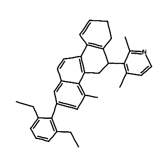 CCc1cccc(CC)c1-c1cc(C)c2c3c(ccc2c1)C1=C(CCC=C1)C(c1c(C)ccnc1C)C3